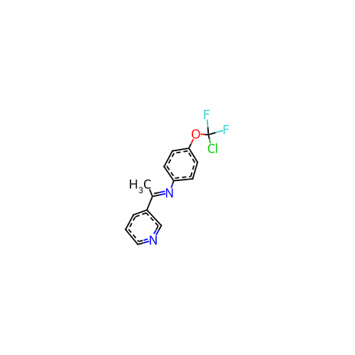 C/C(=N\c1ccc(OC(F)(F)Cl)cc1)c1cccnc1